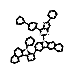 c1ccc(-c2ccc(-c3nc(-n4c5ccc(-c6cccc7c8c9ccccc9ccc8n(-c8ccccc8)c67)cc5c5cc6ccccc6cc54)nc4cc(-c5ccccc5)sc34)cc2)cc1